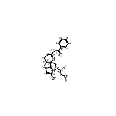 COC[C@@H](I)OC[C@]1(c2nc(Br)cs2)N=C(NC(=O)c2ccccc2)SC[C@@H]1C